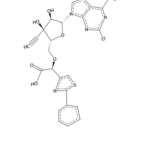 C#C[C@@]1(O)[C@@H](CO[C@H](C(=O)O)c2csc(-c3ccccc3)n2)O[C@@H](n2cnc3c(N)nc(Cl)nc32)[C@@H]1O